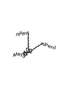 CCCCCC=CCC=CCCCCCCCCOCC(CCN1CCC(OC)CC1)OCCCCCCCCC=CCC=CCCCCC